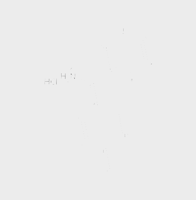 Cc1ccc(C(N)c2ccccc2)cc1.Cl